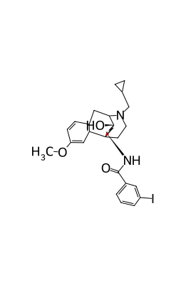 COc1ccc2c(c1)C13CCN(CC4CC4)C(C2)[C@]1(O)CC[C@@H](NC(=O)c1cccc(I)c1)C3